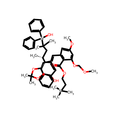 COCOc1cc(OC)cc(/C=C/C[C@@H]2OC(C)(C)O[C@@H]2C(O)/C=C\[C@@H](Cc2ccccc2)[C@H](C)CC(C)(C)[Si](O)(c2ccccc2)c2ccccc2)c1C(=O)OCC[Si](C)(C)C